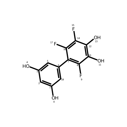 Oc1cc(O)cc(-c2c(F)c(O)c(O)c(F)c2F)c1